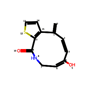 C=C1/C=C\C(O)=C/CNC(=O)c2sccc21